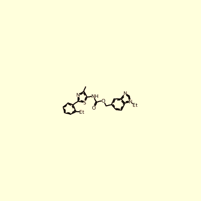 CCc1ccccc1-c1nc(C)c(NC(=O)OCc2ccc3c(c2)ncn3CC)s1